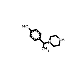 CC(c1ccc(O)cc1)N1CCNCC1